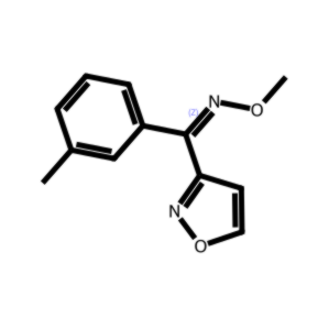 CO/N=C(/c1cccc(C)c1)c1ccon1